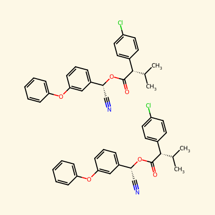 CC(C)[C@H](C(=O)O[C@H](C#N)c1cccc(Oc2ccccc2)c1)c1ccc(Cl)cc1.CC(C)[C@H](C(=O)O[C@H](C#N)c1cccc(Oc2ccccc2)c1)c1ccc(Cl)cc1